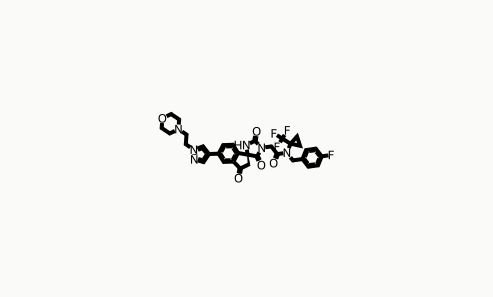 O=C1C[C@]2(NC(=O)N(CC(=O)N(Cc3ccc(F)cc3)C3(C(F)(F)F)CC3)C2=O)c2ccc(-c3cnn(CCN4CCOCC4)c3)cc21